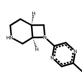 Cc1cnc(N2C[C@@H]3CCNC[C@@H]32)cn1